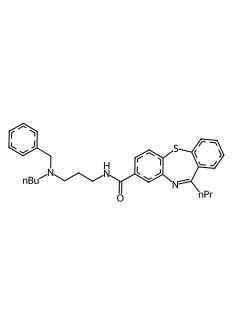 CCCCN(CCCNC(=O)c1ccc2c(c1)N=C(CCC)c1ccccc1S2)Cc1ccccc1